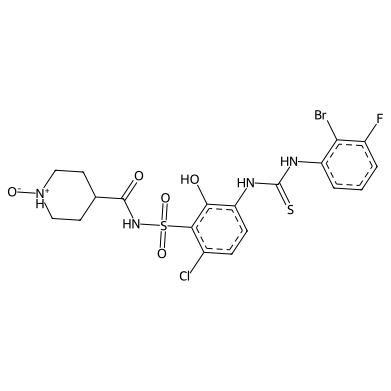 O=C(NS(=O)(=O)c1c(Cl)ccc(NC(=S)Nc2cccc(F)c2Br)c1O)C1CC[NH+]([O-])CC1